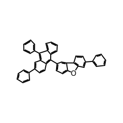 c1ccc(-c2ccc3c(c2)oc2ccc(-c4c5ccccc5c(-c5ccccc5)c5cc(-c6ccccc6)ccc45)cc23)cc1